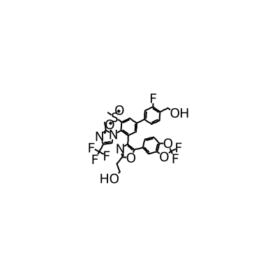 Cc1nc(C(F)(F)F)cn1-c1c(-c2nc(CCO)oc2-c2ccc3c(c2)OC(F)(F)O3)cc(-c2ccc(CO)c(F)c2)cc1S(C)(=O)=O